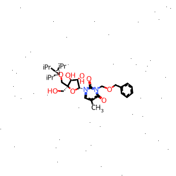 Cc1cn([C@@H]2O[C@@](CO)(CO[Si](C(C)C)(C(C)C)C(C)C)[C@@H](O)[C@H]2O)c(=O)n(COCc2ccccc2)c1=O